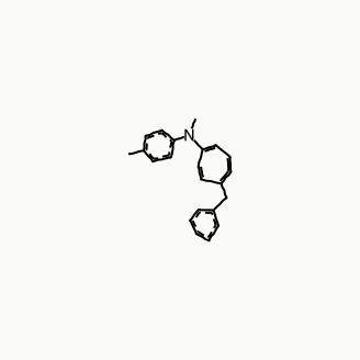 Cc1ccc(N(C)C2=CC=C=C(Cc3ccccc3)C=C2)cc1